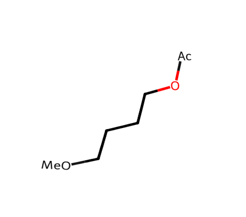 [CH2]C(=O)OCCCCOC